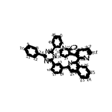 c1ccc(-c2nc(-c3ccccc3)nc(-c3cccc(-c4cc5ccccc5c(-c5nccc6oc7ncccc7c56)n4)c3)n2)cc1